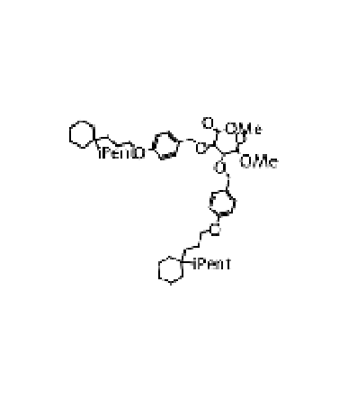 CCCC(C)C1(CCCOc2ccc(CO[C@@H](C(=O)OC)[C@@H](OCc3ccc(OCCCC4(C(C)CCC)CCCCC4)cc3)C(=O)OC)cc2)CCCCC1